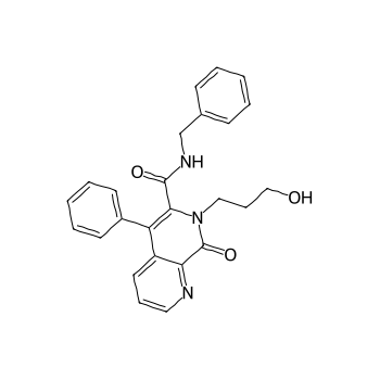 O=C(NCc1ccccc1)c1c(-c2ccccc2)c2cccnc2c(=O)n1CCCO